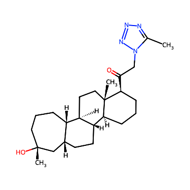 Cc1nnnn1CC(=O)[C@H]1CCC[C@H]2[C@@H]3CC[C@@H]4C[C@](C)(O)CCC[C@@H]4[C@H]3CC[C@]12C